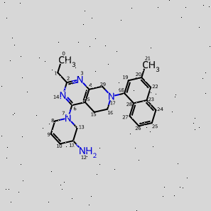 CCc1nc2c(c(N3CC=CC(N)C3)n1)CCN(c1cc(C)cc3ccccc13)C2